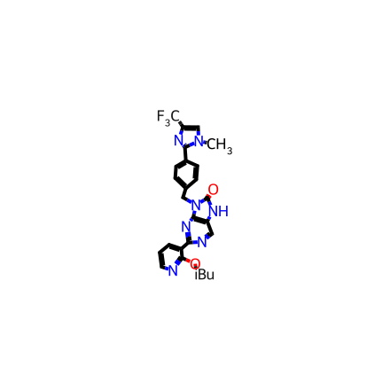 CCC(C)Oc1ncccc1-c1ncc2[nH]c(=O)n(Cc3ccc(-c4nc(C(F)(F)F)cn4C)cc3)c2n1